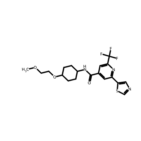 COCCOC1CCC(NC(=O)c2cc(-c3cncs3)nc(C(F)(F)F)c2)CC1